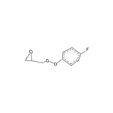 Fc1ccc(OOCC2CO2)cc1